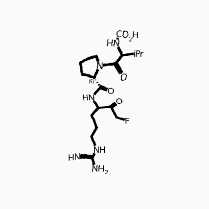 CC(C)C(NC(=O)O)C(=O)N1CCC[C@H]1C(=O)NC(CCCNC(=N)N)C(=O)CF